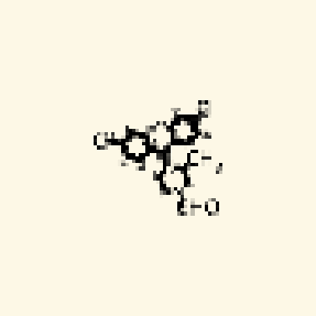 CC1CN(C=O)CCN1C(c1ccc(Cl)cc1)c1ccc(Cl)cc1